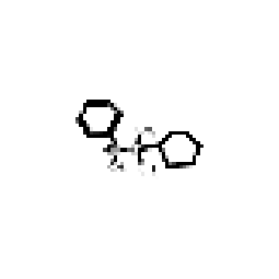 C[SiH](c1ccccc1)[Si](C)(C)C1CCCCC1